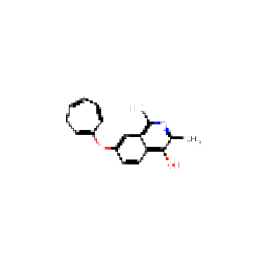 Cc1nc(C)c2cc(OC3=CCC=CC=C3)ccc2c1O